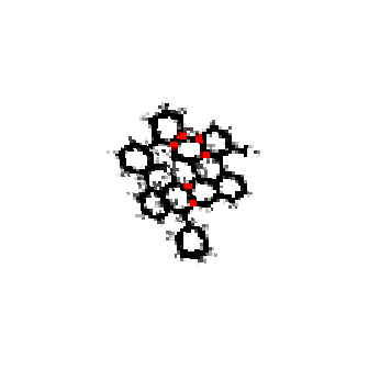 Fc1ccccc1-c1cccc2cccc(-c3ccccc3N(c3ccc(-c4ccccc4)cc3)c3c(-c4ccccc4)cccc3-c3ccccc3)c12